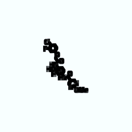 COc1ncc(C(=O)NC23CCC(NC(=O)COc4ccc(Cl)c(F)c4)(CC2)[C@@H](O)C3)cn1